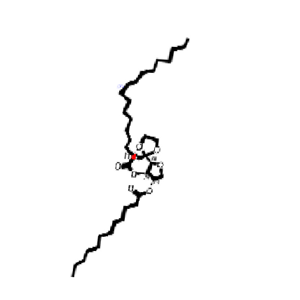 CCCCCCCC/C=C\CCCCCCCC(=O)O[C@@H]1[C@@H](OC(=O)CCCCCCCCCCC)CO[C@@H]1C1(CO)OCCO1